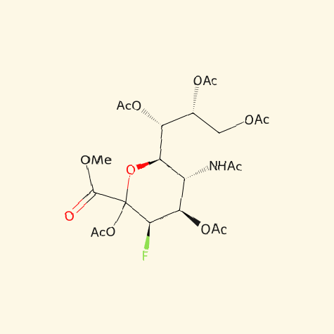 COC(=O)C1(OC(C)=O)O[C@@H]([C@H](OC(C)=O)[C@@H](COC(C)=O)OC(C)=O)[C@H](NC(C)=O)[C@@H](OC(C)=O)[C@H]1F